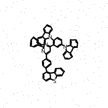 c1ccc(-c2nc(-c3ccc(-c4cccc5sc6ccccc6c45)cc3)cc(-c3cc(-n4c5ccccc5c5ccccc54)ccc3-n3c4ccccc4c4ccccc43)n2)cc1